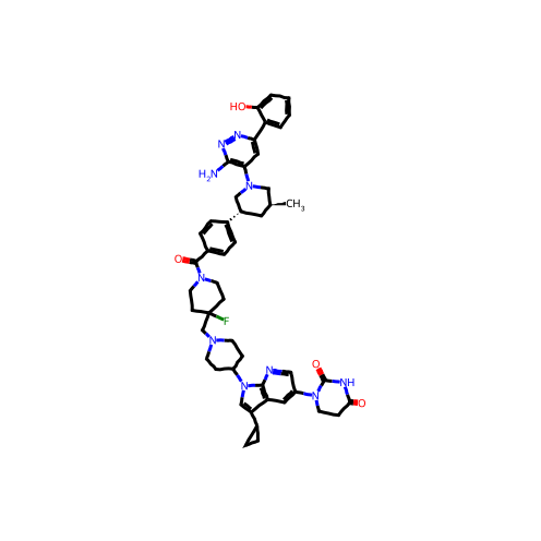 C[C@H]1C[C@H](c2ccc(C(=O)N3CCC(F)(CN4CCC(n5cc(C6CC6)c6cc(N7CCC(=O)NC7=O)cnc65)CC4)CC3)cc2)CN(c2cc(-c3ccccc3O)nnc2N)C1